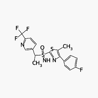 Cc1sc(S(=N)(=O)C(C)c2ccc(C(F)(F)F)nc2)nc1-c1ccc(F)cc1